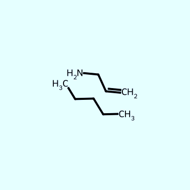 C=CCN.CCCCC